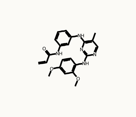 C=CC(=O)Nc1cccc(Nc2nc(Nc3ccc(OC)cc3OC)ncc2C)c1